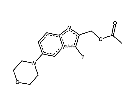 CC(=O)OCc1nc2ccc(N3CCOCC3)cn2c1I